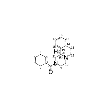 O=C(C1CCCCC1)N1CCN2CCc3ccccc3[C@@H]2C1